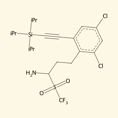 CC(C)[Si](C#Cc1cc(Cl)cc(Cl)c1CCC(N)S(=O)(=O)C(F)(F)F)(C(C)C)C(C)C